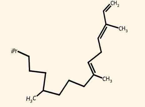 C=C/C(C)=C/C/C=C(\C)CCCC(C)CCCC(C)C